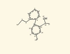 CCCc1ccccc1-c1ccc(F)cc1C(C)O